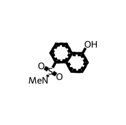 CNS(=O)(=O)c1cccc2c(O)cccc12